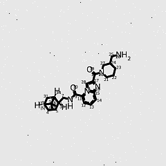 CC1(C)[C@H]2CC[C@@H](CNC(=O)c3cccc4nc(C(=O)N5CCCC(CN)C5)cn34)[C@H]1C2